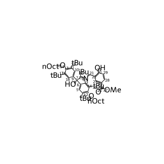 CCCCCCCCOc1c(C(C)(C)C)cc(C(O)(c2cc(C(C)(C)C)c(OCCCCCCCC)c(C(C)(C)C)c2)C(N=Cc2cc(C(=O)OC)ccc2O)C(C)CC)cc1C(C)(C)C